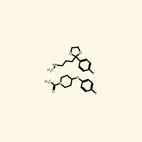 CC(=O)N1CCC(Oc2ccc(F)cc2)CC1.CNCCCC1(c2ccc(F)cc2)OCCO1